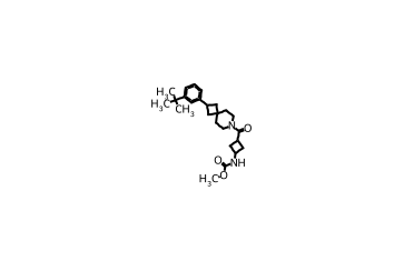 COC(=O)NC1CC(C(=O)N2CCC3(CC2)CC(c2cccc(C(C)(C)C)c2)C3)C1